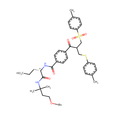 Cc1ccc(SCC(CS(=O)(=O)c2ccc(C)cc2)C(=O)c2ccc(C(=O)N[C@@H](CCC(=O)O)C(=O)NC(C)(C)CCOC(C)(C)C)cc2)cc1